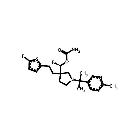 Cc1ccc(C(C)(C)N2CCC(CCc3ccc(F)s3)([C@@H](F)OC(N)=O)C2)cn1